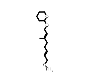 C/C(=C\COC1CCCCO1)CC/C=C/COP